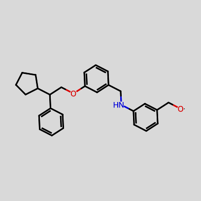 [O]Cc1cccc(NCc2cccc(OCC(c3ccccc3)C3CCCC3)c2)c1